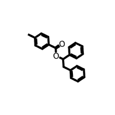 Cc1ccc(C(=O)OC(Cc2ccccc2)c2ccccc2)cc1